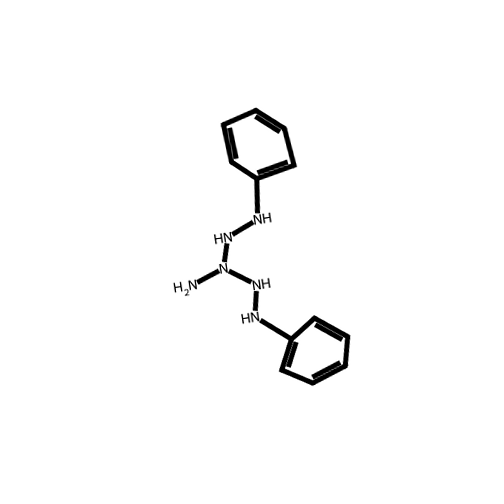 NN(NNc1ccccc1)NNc1ccccc1